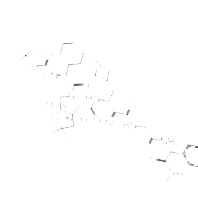 CN(C)C(=O)[C@@H](NC(=O)CNC(=O)C(=O)C(CC1COC1)NC(=O)[C@@H]1[C@H]2CC(C)(C)O[C@H]2CN1C(=O)[C@@H](NC(=O)OC(C)(C)C)C1CCCCC1)c1ccccc1